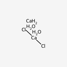 O.O.[CaH2].[Cl][Ca][Cl]